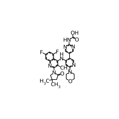 Cc1c(N2CC(C)(C)CC2=O)nc2cc(F)cc(F)c2c1Nc1cc(N2CCOCC2)ncc1-c1cnc(NC(=O)O)nc1